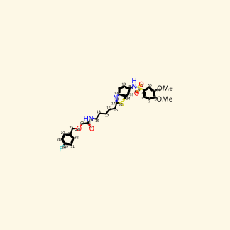 COc1ccc(S(=O)(=O)Nc2ccc3nc(CCCCCNC(=O)COCc4ccc(F)cc4)sc3c2)cc1OC